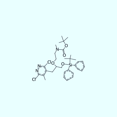 Cc1c(Cl)nnc(Cl)c1CC(CO[Si](c1ccccc1)(c1ccccc1)C(C)(C)C)OCCN(C)C(=O)OC(C)(C)C